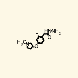 CN1CC[C@@H](Oc2ccc(CC(=O)NN)c(F)c2)C1